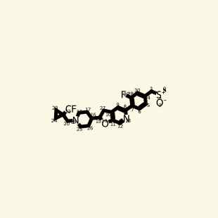 C[S+]([O-])Cc1ccc(-c2cc3c(cn2)OC(C2CCN(CC4(C(F)(F)F)CC4)CC2)C3)c(F)c1